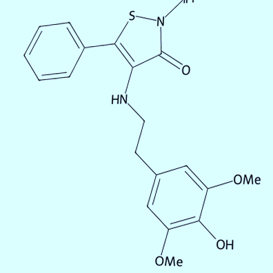 COc1cc(CCNc2c(-c3ccccc3)sn(C(C)C)c2=O)cc(OC)c1O